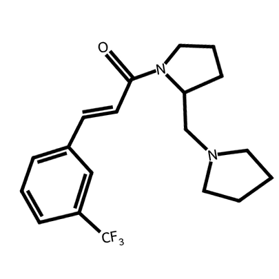 O=C(C=Cc1cccc(C(F)(F)F)c1)N1CCCC1CN1CCCC1